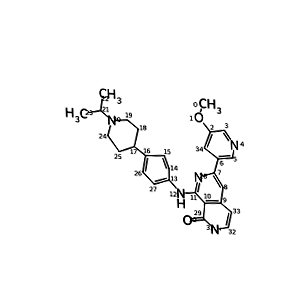 COc1cncc(-c2cc3c(c(Nc4ccc(C5CCN(C(C)C)CC5)cc4)n2)C(=O)[N]C=C3)c1